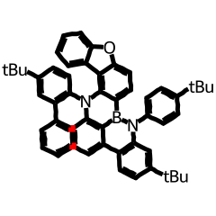 Cc1cc2c3c(c1)N(c1ccc(C(C)(C)C)cc1-c1ccccc1)c1c(ccc4oc5ccccc5c14)B3N(c1ccc(C(C)(C)C)cc1)c1cc(C(C)(C)C)ccc1-2